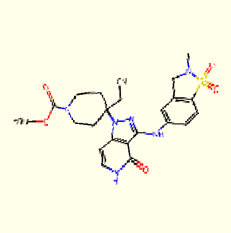 CN1Cc2cc(Nc3nn(C4(CC#N)CCN(C(=O)OC(C)(C)C)CC4)c4cc[nH]c(=O)c34)ccc2S1(=O)=O